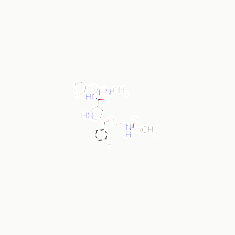 CNC[C@@H](C[C@H]1CCCOC1)NC(=O)C1CNCC([C@@H](OCCNC(=O)OC)c2cccc(F)c2)C1